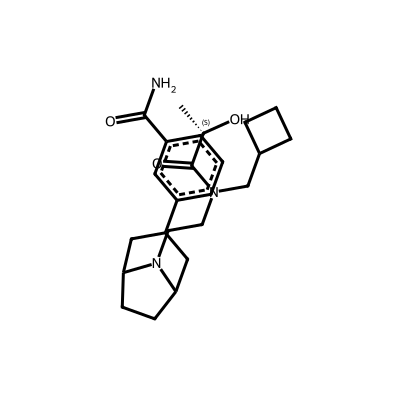 C[C@H](O)C(=O)N(CCN1C2CCC1CC(c1cccc(C(N)=O)c1)C2)CC1CCC1